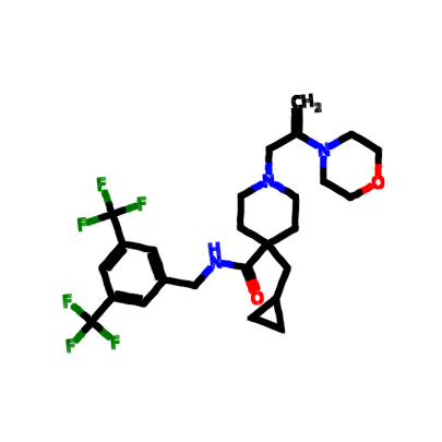 C=C(CN1CCC(CC2CC2)(C(=O)NCc2cc(C(F)(F)F)cc(C(F)(F)F)c2)CC1)N1CCOCC1